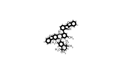 Cc1cc(-c2cccc3c2[nH]c2c4ccccc4oc32)c2c(c1)N(c1cc3c(cc1C)C(C)(C)CCC3(C)C)c1cc3c(cc1B2)oc1ccccc13